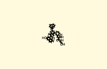 CCc1c(F)ccc2cc(O)cc(-c3ncc4c(N5CCCN/C(=C\C(=N)C(=O)NCCO)C5)nc(OCC56CCCN5CCC6)nc4c3F)c12